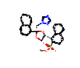 COS(=O)(=O)c1ccc2ccccc2c1[C@@H]1CO[C@@](Cn2cncn2)(c2cccc3ccccc23)O1